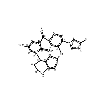 Cc1cn(-c2ccc(C(=O)c3cc(F)cn(C4CCOc5ccccc54)c3=O)cc2C)cn1